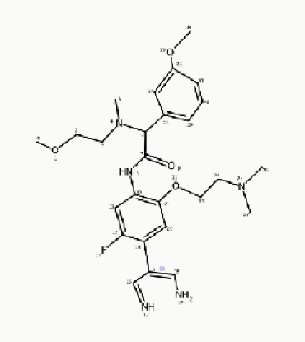 COCCN(C)C(C(=O)Nc1cc(F)c(/C(C=N)=C/N)cc1OCCN(C)C)c1cccc(OC)c1